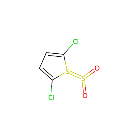 O=S(=O)=S1C(Cl)=CC=C1Cl